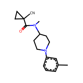 Cc1cccc(N2CCC(N(C)C(=O)C3(C#N)CC3)CC2)c1